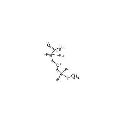 CCC(F)(F)COCC(F)(F)C(=O)O